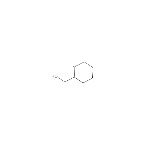 OCC1[CH]CCCC1